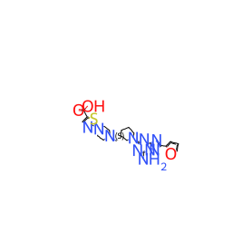 Nc1nc(N2CCC[C@@H](CN3CCN(c4ncc(C(=O)O)s4)CC3)C2)nc2nc(-c3ccco3)nn12